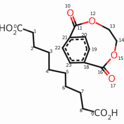 O=C(O)CCCCCCCCC(=O)O.O=C1OCCOC(=O)c2ccc1cc2